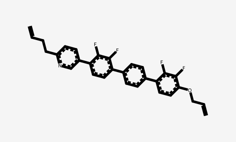 C=CCCc1ccc(-c2ccc(-c3ccc(-c4ccc(OCC=C)c(F)c4F)cc3)c(F)c2F)cn1